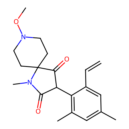 C=Cc1cc(C)cc(C)c1C1C(=O)N(C)C2(CCN(OC)CC2)C1=O